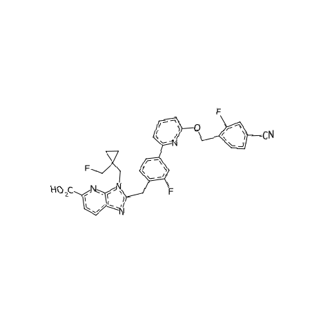 N#Cc1ccc(COc2cccc(-c3ccc(Cc4nc5ccc(C(=O)O)nc5n4CC4(CF)CC4)c(F)c3)n2)c(F)c1